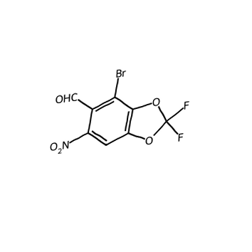 O=Cc1c([N+](=O)[O-])cc2c(c1Br)OC(F)(F)O2